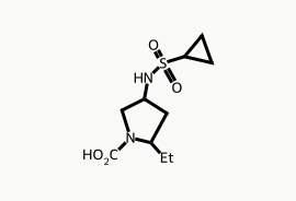 CCC1CC(NS(=O)(=O)C2CC2)CN1C(=O)O